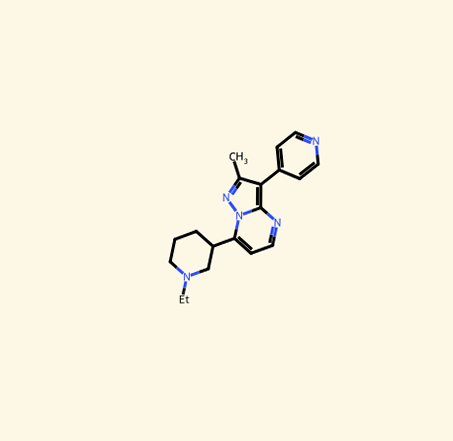 CCN1CCCC(c2ccnc3c(-c4ccncc4)c(C)nn23)C1